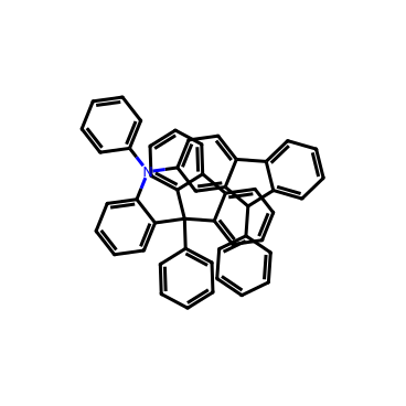 c1ccc(C2c3ccccc3-c3ccc(N(c4ccccc4)c4ccccc4C4(c5ccccc5)c5ccccc5-c5ccccc54)cc32)cc1